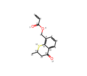 C=CC(=O)OCc1cccc2c1SC(C)CC2=O